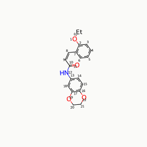 CCOc1ccccc1/C=C\C(=O)Nc1ccc2c(c1)OCCO2